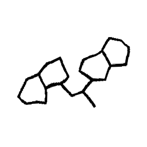 CC(CC1CCCC2CCCCC21)C1CCC2CCCCC2C1